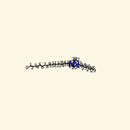 CCCCCCCCCCCCCCCCCCN1C=CN(CCCCCCCC)C1CC